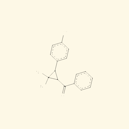 N#CC1(C#N)C(C(=O)c2ccccc2)C1c1ccc(C(F)(F)F)cc1